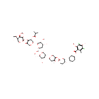 COC[C@H]1O[C@@H](O[C@@H]2OC[C@@H]3O[C@]4(O[C@H]3[C@H]2OC(=O)C(C)C)O[C@H](C)[C@@](O)(C(C)=O)[C@@H]2OCO[C@H]24)[C@@H](OC)[C@@H](O)[C@@H]1O[C@@H]1O[C@H](O)[C@H](OC)[C@H](O[C@@H]2O[C@H](C)[C@H]3O[C@]4(C[C@@H](O)[C@H](O[C@H]5C[C@@H](O)[C@H](OC(=O)c6c(C)c(Cl)c(O)c(Cl)c6OC)[C@@H](C)C5)[C@@H](C)O4)O[C@]3(C)[C@@H]2O)[C@H]1O